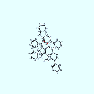 c1ccc(-c2ccc(N(c3ccccc3-c3ccc4sc5ccccc5c4c3)c3cccc4c3-c3ccccc3C43c4ccccc4-c4ccccc43)cc2)cc1